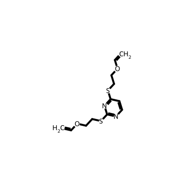 C=COCCSc1ccnc(SCCOC=C)n1